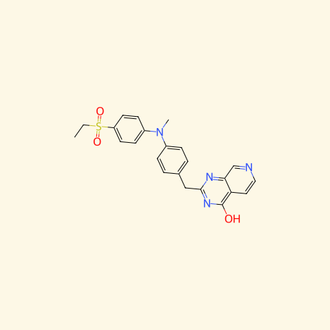 CCS(=O)(=O)c1ccc(N(C)c2ccc(Cc3nc(O)c4ccncc4n3)cc2)cc1